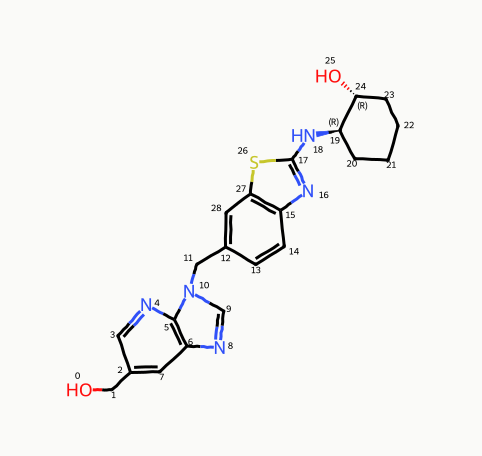 OCc1cnc2c(c1)ncn2Cc1ccc2nc(N[C@@H]3CCCC[C@H]3O)sc2c1